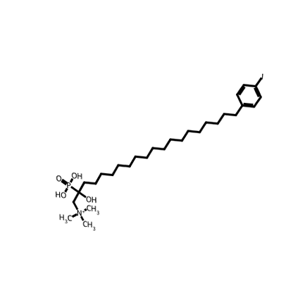 C[N+](C)(C)CC(O)(CCCCCCCCCCCCCCCCCCc1ccc(I)cc1)P(=O)(O)O